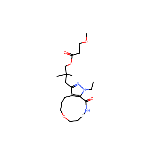 CCn1nc(CC(C)(C)COC(=O)CCOC)c2c1C(=O)NCCCOCCC2